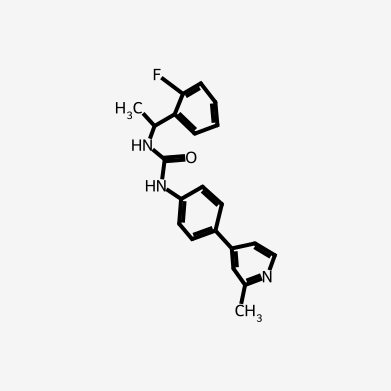 Cc1cc(-c2ccc(NC(=O)NC(C)c3ccccc3F)cc2)ccn1